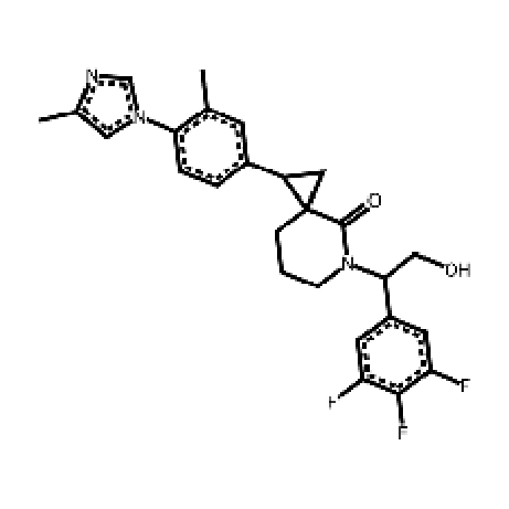 Cc1cn(-c2ccc(C3CC34CCCN(C(CO)c3cc(F)c(F)c(F)c3)C4=O)cc2C)cn1